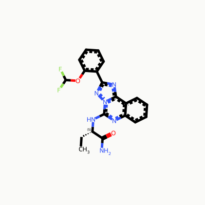 CC[C@H](Nc1nc2ccccc2c2nc(-c3ccccc3OC(F)F)nn12)C(N)=O